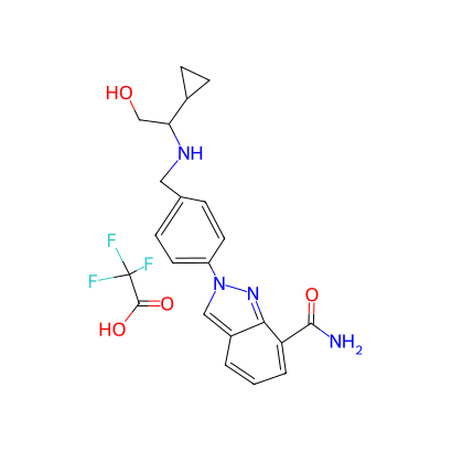 NC(=O)c1cccc2cn(-c3ccc(CNC(CO)C4CC4)cc3)nc12.O=C(O)C(F)(F)F